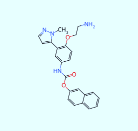 Cn1nccc1-c1cc(NC(=O)Oc2ccc3ccccc3c2)ccc1OCCN